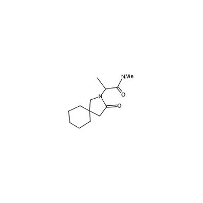 CNC(=O)C(C)N1CC2(CCCCC2)CC1=O